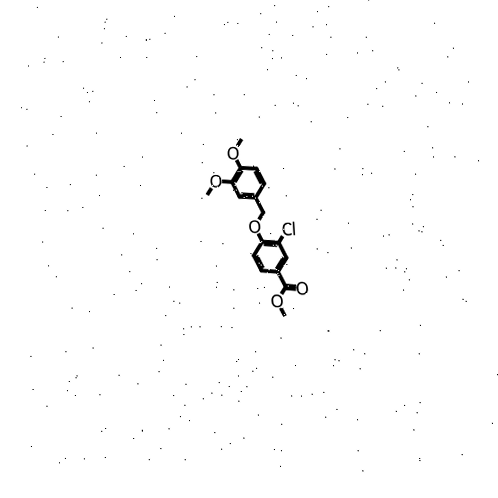 COC(=O)c1ccc(OCc2ccc(OC)c(OC)c2)c(Cl)c1